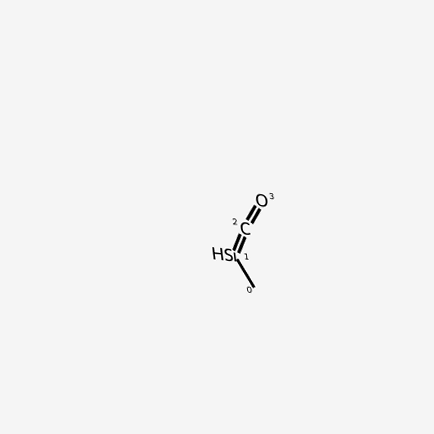 C[SiH]=C=O